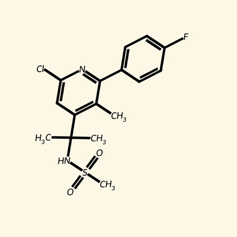 Cc1c(C(C)(C)NS(C)(=O)=O)cc(Cl)nc1-c1ccc(F)cc1